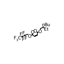 CCCCC(CC)COC(=O)/C=C\C(=O)OCC(F)(F)C(F)(F)C(F)(F)F